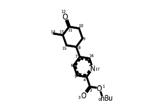 CCCCOC(=O)c1ccc(C2CCC(=O)C(C)C2)cn1